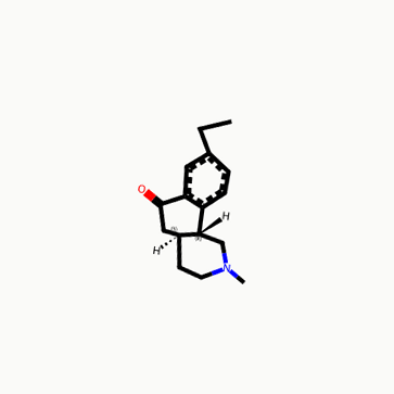 CCc1ccc2c(c1)C(=O)C[C@@H]1CCN(C)C[C@@H]21